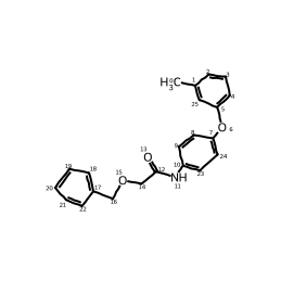 Cc1cccc(Oc2ccc(NC(=O)COCc3ccccc3)cc2)c1